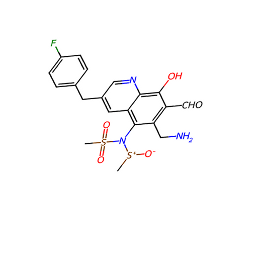 C[S+]([O-])N(c1c(CN)c(C=O)c(O)c2ncc(Cc3ccc(F)cc3)cc12)S(C)(=O)=O